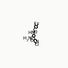 N[S+]([O-])c1cc(NC(=O)Cc2ccc(F)c(F)c2)ccc1-c1ccc(Cl)nc1